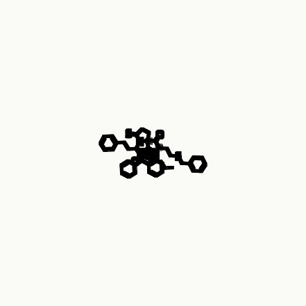 CCCCOC(=O)C(CCc1ccccc1)N1C(=S)CC[C@]1(C(=O)OC(c1ccccc1)c1ccccc1)C(=O)[C@@H](N)CCSCc1ccccc1